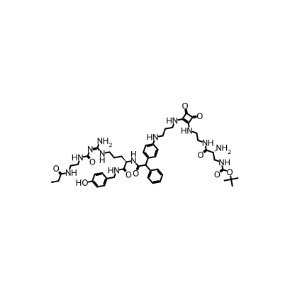 CCC(=O)NCCNC(=O)/N=C(/N)NCCC[C@@H](NC(=O)C(c1ccccc1)c1ccc(NCCCNc2c(NCCNC(=O)[C@H](N)CNC(=O)OC(C)(C)C)c(=O)c2=O)cc1)C(=O)NCc1ccc(O)cc1